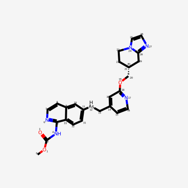 COC(=O)Nc1nccc2cc([AsH]Cc3ccnc(OC[C@@H]4CCn5ccnc5C4)c3)ccc12